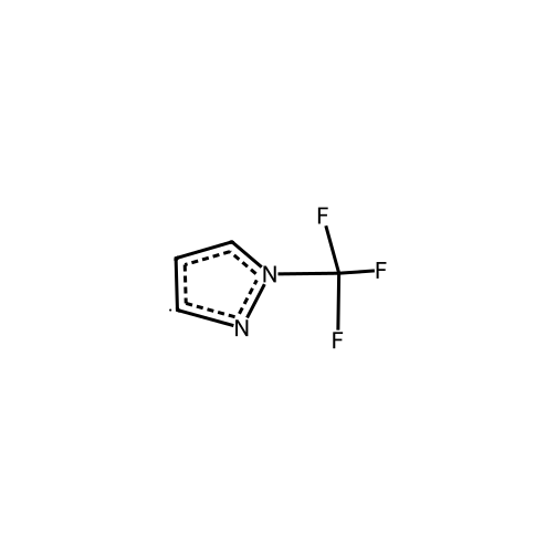 FC(F)(F)n1cc[c]n1